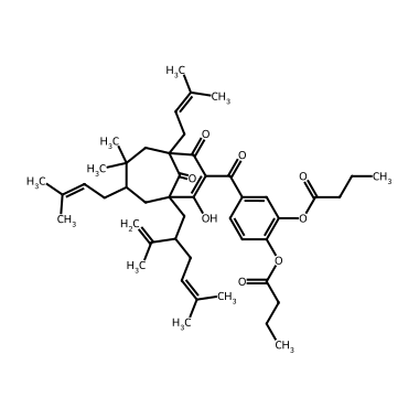 C=C(C)C(CC=C(C)C)CC12CC(CC=C(C)C)C(C)(C)CC(CC=C(C)C)(C(=O)C(C(=O)c3ccc(OC(=O)CCC)c(OC(=O)CCC)c3)=C1O)C2=O